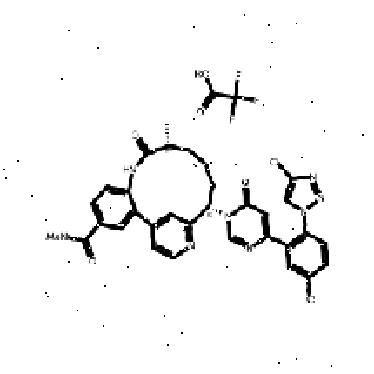 CNC(=O)c1ccc2c(c1)-c1ccnc(c1)[C@@H](n1cnc(-c3cc(Cl)ccc3-n3cc(Cl)nn3)cc1=O)CCC[C@@H](C)C(=O)N2.O=C(O)C(F)(F)F